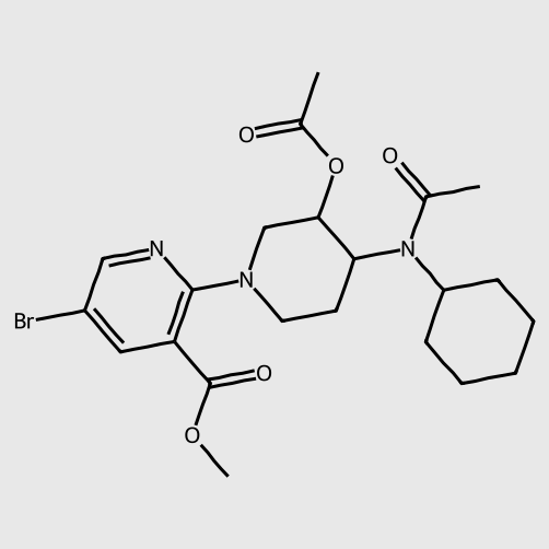 COC(=O)c1cc(Br)cnc1N1CCC(N(C(C)=O)C2CCCCC2)C(OC(C)=O)C1